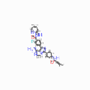 CC#CC(=O)NC1CC=C(c2nc(-c3ccc(C(=O)Nc4ccccn4)c(F)c3)c3c(N)nccn23)CC1